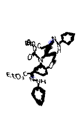 CCOC(=O)/C(=N/Nc1ccccc1)c1ccc2c(c1)N(C(=O)OC(C)(C)C)C(/C(=N\Nc1ccccc1)C(=O)OCC)CO2